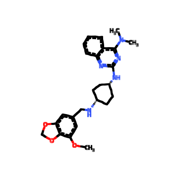 COc1cc(CN[C@H]2CC[C@@H](Nc3nc(N(C)C)c4ccccc4n3)CC2)cc2c1OCO2